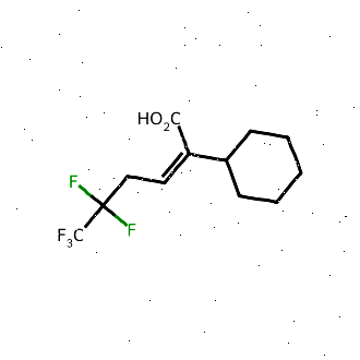 O=C(O)C(=CCC(F)(F)C(F)(F)F)C1CCCCC1